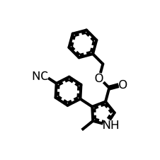 Cc1[nH]cc(C(=O)OCc2ccccc2)c1-c1ccc(C#N)cc1